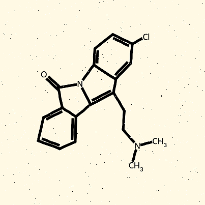 CN(C)CCc1c2n(c3ccc(Cl)cc13)C(=O)c1ccccc1-2